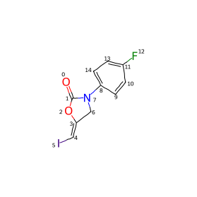 O=C1OC(=CI)CN1c1ccc(F)cc1